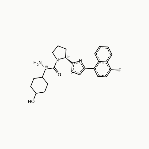 N[C@H](C(=O)N1CCC[C@H]1c1nc(-c2ccc(F)c3ccccc23)cs1)C1CCC(O)CC1